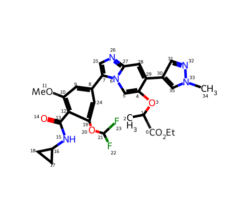 CCOC(=O)C(C)Oc1cn2c(-c3cc(OC)c(C(=O)NC4CC4)c(OC(F)F)c3)cnc2cc1-c1cnn(C)c1